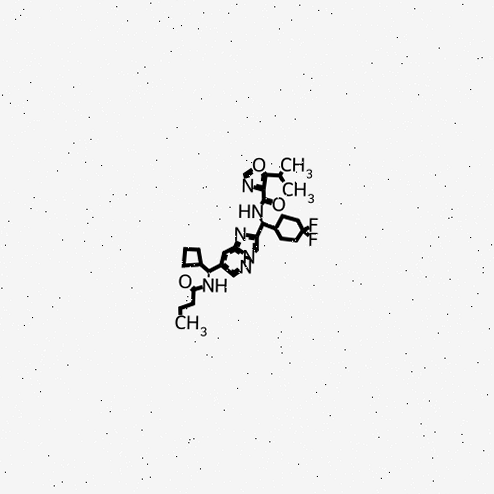 CCCC(=O)N[C@@H](c1cnn2cc([C@@H](NC(=O)c3ncoc3C(C)C)C3CCC(F)(F)CC3)nc2c1)C1CCC1